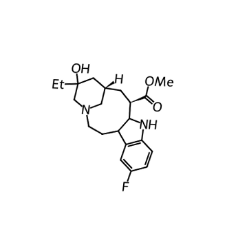 CCC1(O)C[C@@H]2C[C@@H](C(=O)OC)C3Nc4ccc(F)cc4C3CCN(C2)C1